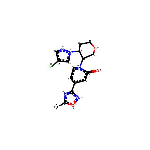 O=c1cc(-c2noc(C(F)(F)F)n2)ccn1C1COCCC1n1cc(Br)cn1